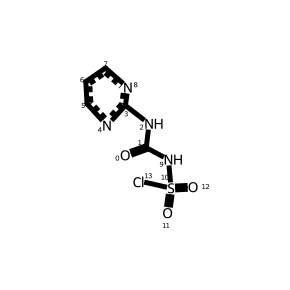 O=C(Nc1ncccn1)NS(=O)(=O)Cl